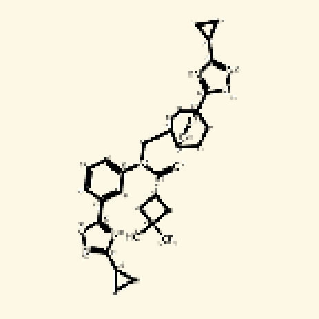 O=C([C@H]1C[C@](O)(C(F)(F)F)C1)N(CC1CCC2(c3nc(C4CC4)no3)CCC1CC2)c1cccc(-c2nc(C3CC3)no2)c1